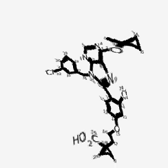 CC1(Oc2ncnc3c2nc(-c2ccc(OCCC4(C(=O)O)CC4)cc2Cl)n3Cc2cccc(Cl)c2)CC1